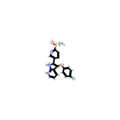 C[S+]([O-])c1ccc(-c2[nH]c3ncccc3c2Sc2ccc(Cl)cc2)cn1